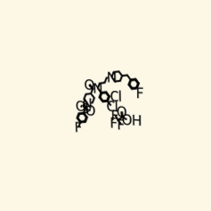 O=C(C1CCN(S(=O)(=O)c2ccc(F)cc2)CC1)N(CCCN1CCC(Cc2ccc(F)cc2)CC1)c1ccc(Cl)c(Cl)c1.O=C(O)C(F)(F)F